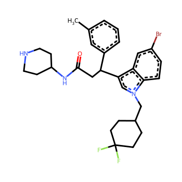 Cc1cccc(C(CC(=O)NC2CCNCC2)c2cn(CC3CCC(F)(F)CC3)c3ccc(Br)cc23)c1